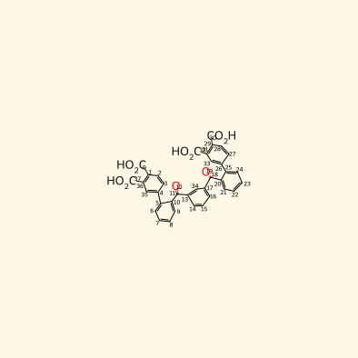 O=C(O)c1ccc(-c2ccccc2C(=O)c2cccc(C(=O)c3ccccc3-c3ccc(C(=O)O)c(C(=O)O)c3)c2)cc1C(=O)O